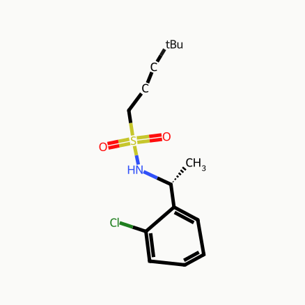 C[C@@H](NS(=O)(=O)CCCC(C)(C)C)c1ccccc1Cl